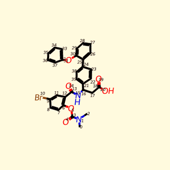 CN(C)C(=O)Oc1ccc(Br)cc1C(=O)NC(CC(=O)O)c1ccc(-c2ccccc2Oc2ccccc2)cc1